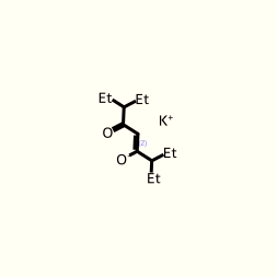 CCC(CC)C(=O)/C=C(\[O-])C(CC)CC.[K+]